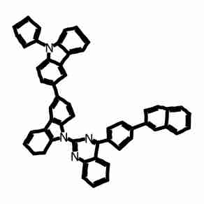 C1=Cc2c(n(-c3nc(-c4ccc(-c5ccc6ccccc6c5)cc4)c4ccccc4n3)c3ccc(-c4ccc5c(c4)c4ccccc4n5-c4ccccc4)cc23)CC1